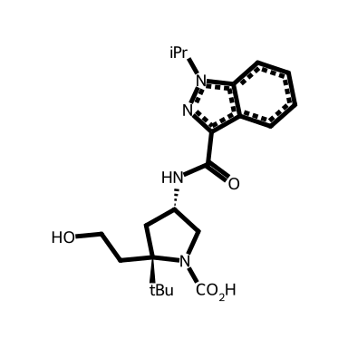 CC(C)n1nc(C(=O)N[C@@H]2CN(C(=O)O)[C@@](CCO)(C(C)(C)C)C2)c2ccccc21